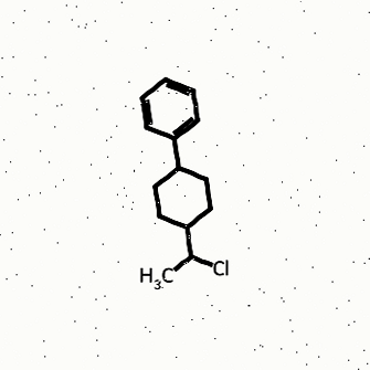 CC(Cl)C1CCC(c2ccccc2)CC1